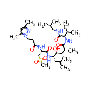 Cc1cc(C)n(CCC(=O)N[C@@H](CS(C)(=O)=O)C(=O)N[C@@H](CC(C)C)[C@@H](O)C[C@@H](C)C(=O)N[C@@H](C(=O)NCC(C)C)C(C)C)n1